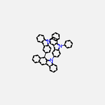 c1ccc(-n2c3ccccc3c3cc(-c4c5ccccc5cc5c6ccccc6n(-c6ccc7c(c6)c6ccccc6n7-c6ccccc6)c45)ccc32)cc1